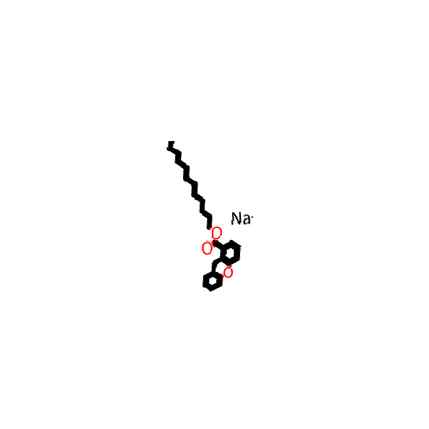 CCCCCCCCCCCCOC(=O)c1cccc2c1Cc1ccccc1O2.[Na]